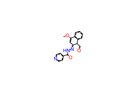 COC1=CC(=NNC(=O)c2ccncc2)C(C=O)c2ccccc21